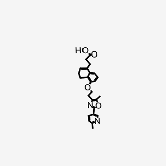 Cc1ccc(-c2nc(CCOc3cccc4c3CCC=C4CCC(=O)O)c(C)o2)cn1